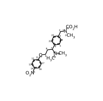 CN(Cc1ccc(C(CCOc2ccc([N+](=O)[O-])cc2)N(C)C)cc1)C(=O)O